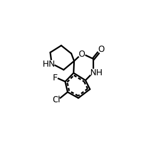 O=C1Nc2ccc(Cl)c(F)c2C2(CCCNC2)O1